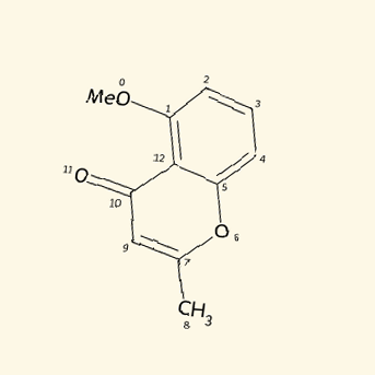 COc1cccc2oc(C)cc(=O)c12